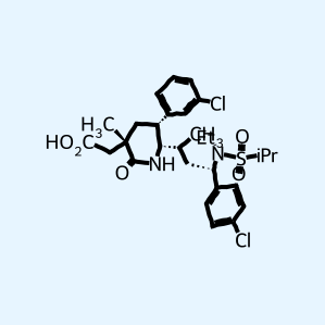 CCN([C@@H](CC(C)[C@@H]1NC(=O)[C@](C)(CC(=O)O)C[C@@H]1c1cccc(Cl)c1)c1ccc(Cl)cc1)S(=O)(=O)C(C)C